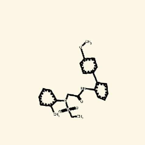 CCS(=O)(=O)N(CC(=O)Nc1ccccc1-c1ccc(OC)cc1)c1ccccc1C